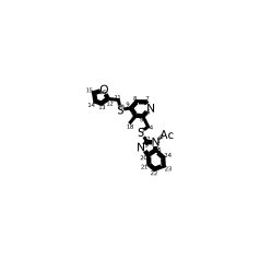 CC(=O)n1c(SCc2nccc(SCc3ccco3)c2C)nc2ccccc21